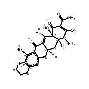 NC(=O)C1=C(O)[C@@H](N)[C@@H]2C[C@@H]3Cc4cc5c(c(O)c4C(=O)C3=C(O)[C@]2(O)C1=O)NCCC5